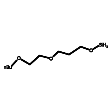 CCCCOCCOCCCO[SiH3]